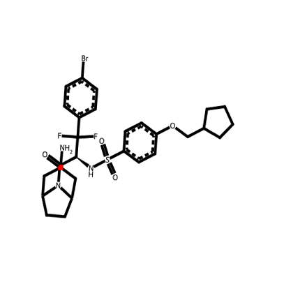 NC1CC2CCC(C1)N2C(=O)[C@H](NS(=O)(=O)c1ccc(OCC2CCCC2)cc1)C(F)(F)c1ccc(Br)cc1